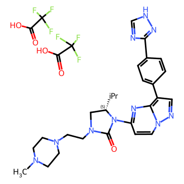 CC(C)[C@H]1CN(CCN2CCN(C)CC2)C(=O)N1c1ccn2ncc(-c3ccc(-c4nc[nH]n4)cc3)c2n1.O=C(O)C(F)(F)F.O=C(O)C(F)(F)F